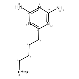 CCCCCCCCCCCc1nc(N)nc(N)n1